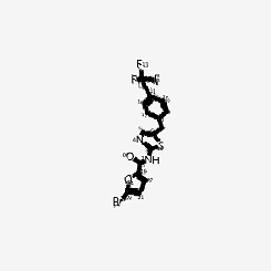 O=C(Nc1ncc(Cc2ccc(C(F)(F)F)cc2)s1)c1ccc(Br)o1